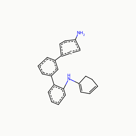 Nc1ccc(-c2cccc(-c3ccccc3NC3=CC=CCC3)c2)cc1